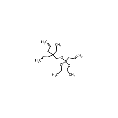 C=CCC(CC)(CC=C)CO[Si](CC=C)(OCC)OCC